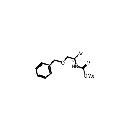 COC(=O)N[C@@H](COCc1ccccc1)C(C)=O